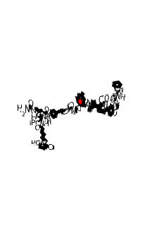 Cc1c(-c2ccc(-c3ccc4c(c3)N(C(=O)Nc3nc5ccccc5s3)CCO4)nc2C(=O)O)cnn1CC12CC3(C)CC(C)(C1)CC(OCCN(C)C(=O)OCc1ccc(NC(=O)[C@H](CCCNC(N)=O)NC(=O)[C@@H](NC(=O)CCCCCN4C(=O)C=CC4O)C(C)C)cc1)(C3)C2